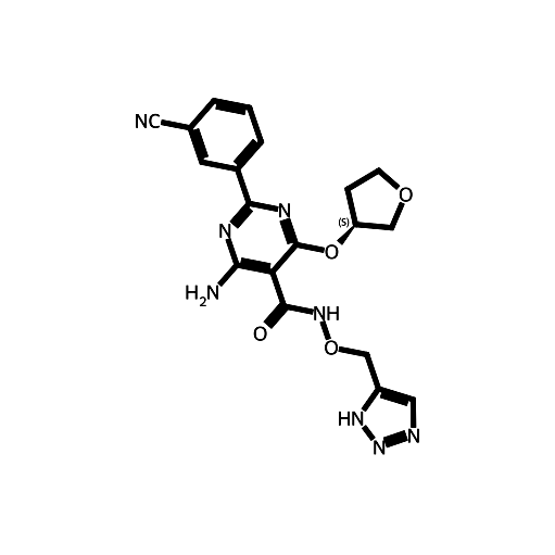 N#Cc1cccc(-c2nc(N)c(C(=O)NOCc3cnn[nH]3)c(O[C@H]3CCOC3)n2)c1